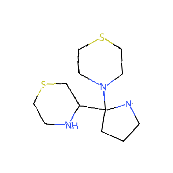 C1C[N]C(C2CSCCN2)(N2CCSCC2)C1